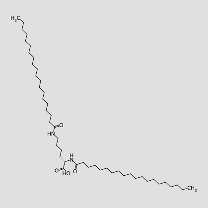 CCCCCCCCCCCCCCCCCCCC(=O)NCCCC[C@H](NC(=O)CCCCCCCCCCCCCCCCCCC)C(=O)O